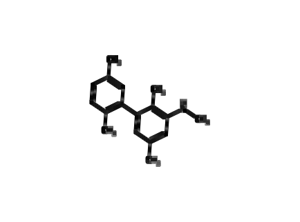 CNc1cc(C)cc(-c2cc(C)ccc2C)c1C